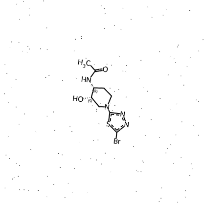 CC(=O)N[C@@H]1CCN(c2nnc(Br)s2)C[C@@H]1O